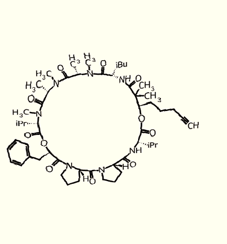 C#CCCC[C@H]1OC(=O)[C@H](C(C)C)NC(=O)[C@@H]2CCCN2C(=O)[C@@H]2CCCN2C(=O)[C@@H](Cc2ccccc2)OC(=O)[C@H](C(C)C)N(C)C(=O)[C@H](C)N(C)C(=O)[C@H](C)N(C)C(=O)[C@H]([C@@H](C)CC)NC(=O)C1(C)C